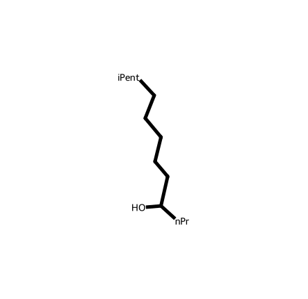 CCCC(C)CCCCCC(O)CCC